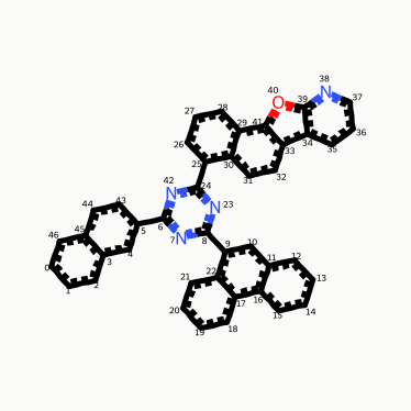 c1ccc2cc(-c3nc(-c4cc5ccccc5c5ccccc45)nc(-c4cccc5c4ccc4c6cccnc6oc54)n3)ccc2c1